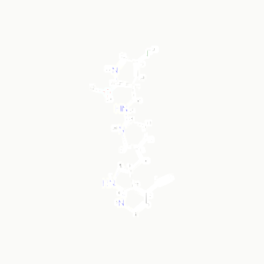 C#Cc1ccnc2[nH]cc(Cc3ccc(NCc4cc(F)cnc4OC)nc3)c12